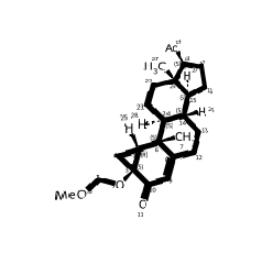 COCO[C@@]12C[C@@H]1[C@@]1(C)C(=CC2=O)CC[C@H]2[C@@H]3CC[C@H](C(C)=O)[C@@]3(C)CC[C@@H]21